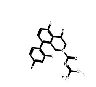 NC(N)=NC(=O)N1Cc2c(-c3ccc(F)cc3F)ccc(F)c2C(F)C1